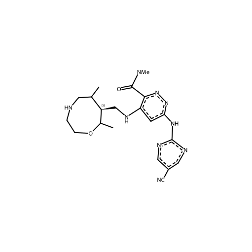 CNC(=O)c1nnc(Nc2ncc(C#N)cn2)cc1NC[C@@H]1C(C)CNCCOC1C